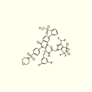 CS(=O)(=O)c1ccccc1-c1ccc2c(=O)n(-c3ccc(S(=O)(=O)N4CCOCC4)cc3)c([C@H](Cc3cc(F)cc(F)c3)NC(=O)Cn3nc(C(F)F)c4c3C(F)(F)[C@H]3C[C@@H]43)nc2c1